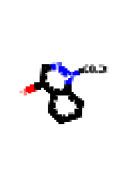 CCOC(=O)n1ncc(=O)c2ccccc21